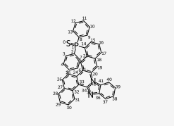 S=P(c1ccccc1)(c1ccccc1)c1cccc2cc3c(cc12)c1ccc2ccccc2c1c1nc2ccccc2n31